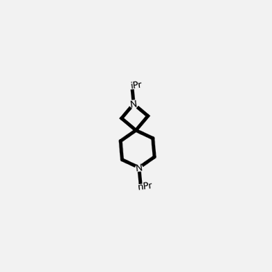 CCCN1CCC2(CC1)CN(C(C)C)C2